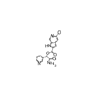 NC(=O)C(OC(=O)c1cc2cc(Cl)ncc2[nH]1)c1cccnc1